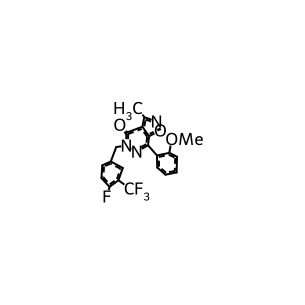 COc1ccccc1-c1nn(Cc2ccc(F)c(C(F)(F)F)c2)c(=O)c2c(C)noc12